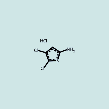 Cl.Nc1cc(Cl)c(Cl)s1